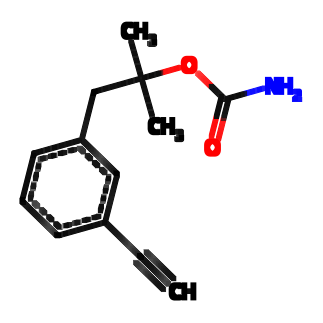 C#Cc1cccc(CC(C)(C)OC(N)=O)c1